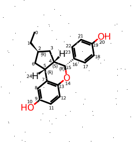 CC[C@H]1C[C@H]2[C@@H](C1)c1cc(O)ccc1O[C@H]2c1ccc(O)cc1